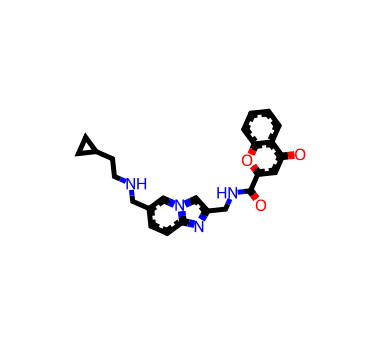 O=C(NCc1cn2cc(CNCCC3CC3)ccc2n1)c1cc(=O)c2ccccc2o1